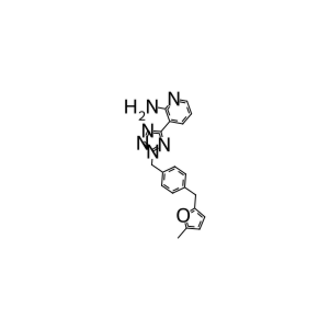 Cc1ccc(Cc2ccc(Cn3nnc(-c4cccnc4N)n3)cc2)o1